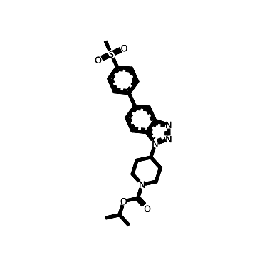 CC(C)OC(=O)N1CCC(n2nnc3cc(-c4ccc(S(C)(=O)=O)cc4)ccc32)CC1